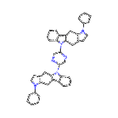 c1ccc(-n2ccc3cc4c(cc32)c2ccccc2n4-c2cnc(-n3c4ccccc4c4cc5c(ccn5-c5ccccc5)cc43)cn2)cc1